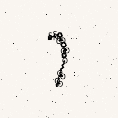 C=CC(=O)OCCC(=O)OCCCCCCOc1ccc(OC(=O)[C@H]2CC[C@H](OC(=O)c3cccc4sc(-c5cccs5)nc34)CC2)cc1